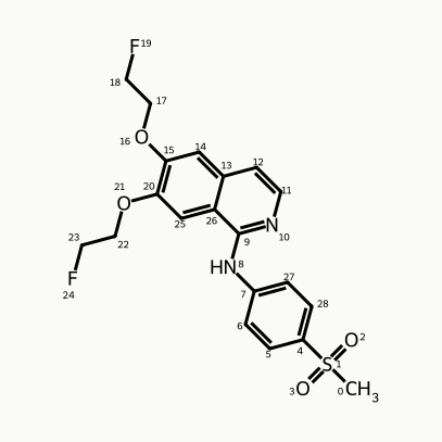 CS(=O)(=O)c1ccc(Nc2nccc3cc(OCCF)c(OCCF)cc23)cc1